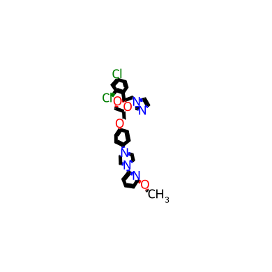 CCOc1cccc(N2CCN(c3ccc(OCC4COC(Cn5ccnc5)(c5ccc(Cl)cc5Cl)O4)cc3)CC2)n1